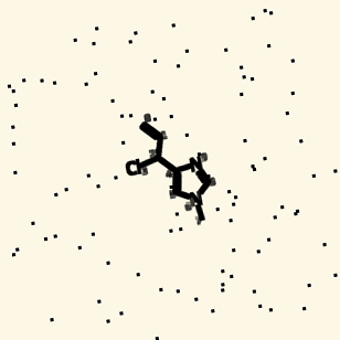 C=CC(Cl)c1cn(C)cn1